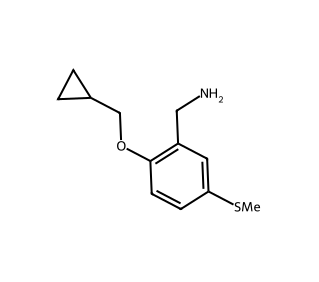 CSc1ccc(OCC2CC2)c(CN)c1